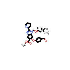 COC(=O)c1cc2nc(-c3ccccn3)n(COCC[Si](C)(C)C)c2cc1Oc1ccc(C=O)cc1